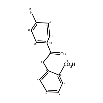 O=C(Cc1ccccc1C(=O)O)c1ccc(F)cc1